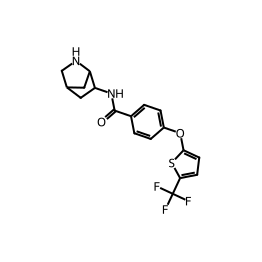 O=C(NC1CC2CNC1C2)c1ccc(Oc2ccc(C(F)(F)F)s2)cc1